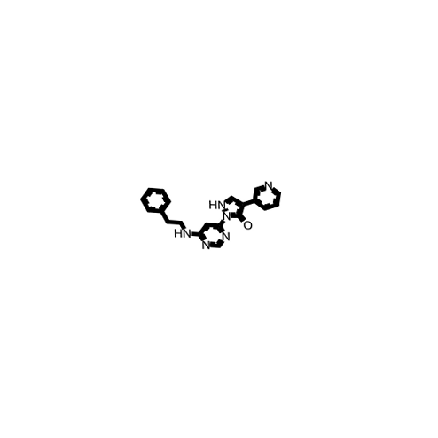 O=c1c(-c2cccnc2)c[nH]n1-c1cc(NCCc2ccccc2)ncn1